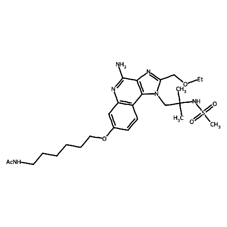 CCOCc1nc2c(N)nc3cc(OCCCCCCNC(C)=O)ccc3c2n1CC(C)(C)NS(C)(=O)=O